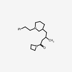 CC(C)CCN1CCCC(CC(C)CC(=O)N2CCC2)C1